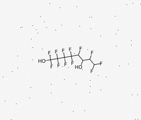 OC(C(F)C(F)F)C(F)C(F)(F)C(F)(F)C(F)(F)C(O)(F)F